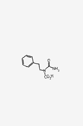 NC(=O)N(CCc1ccccc1)C(=O)O